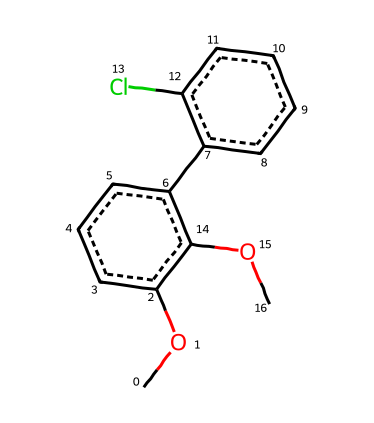 COc1cccc(-c2ccccc2Cl)c1OC